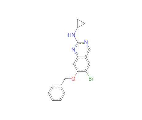 Brc1cc2cnc(NC3CC3)nc2cc1OCc1ccccc1